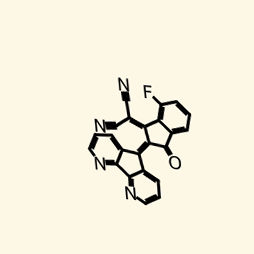 N#CC(C#N)=C1C(=C2c3cccnc3-c3ncccc32)C(=O)c2cccc(F)c21